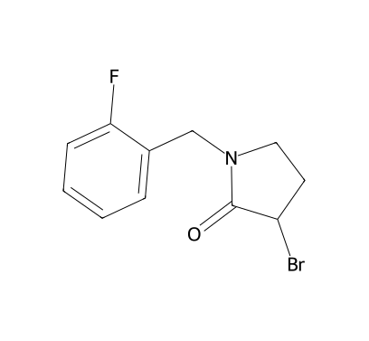 O=C1C(Br)CCN1Cc1ccccc1F